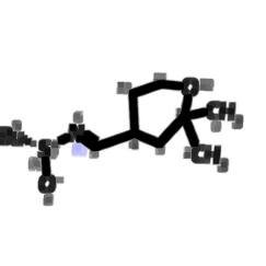 CC1(C)CC(/C=N/[S@+]([O-])C(C)(C)C)CCO1